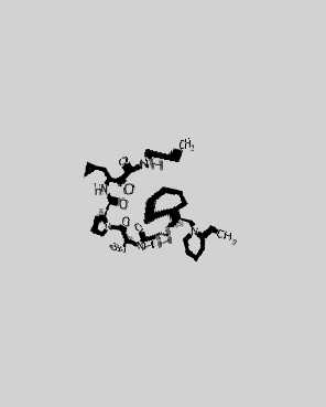 C=CCNC(=O)C(=O)C(CC1CC1)NC(=O)[C@@H]1C=CCN1C(=O)[C@@H](NC(=O)N[C@H](CN1CCCCC1=CC)C1CCCCC1)C(C)(C)C